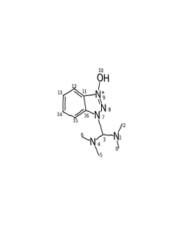 CN(C)C(N(C)C)n1n[n+](O)c2ccccc21